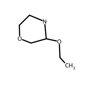 CCO[C]1COCC[N]1